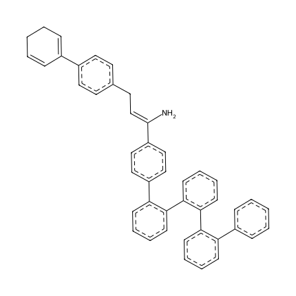 N/C(=C\Cc1ccc(C2=CCCC=C2)cc1)c1ccc(-c2ccccc2-c2ccccc2-c2ccccc2-c2ccccc2)cc1